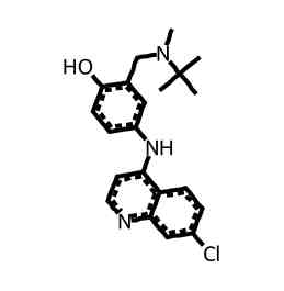 CN(Cc1cc(Nc2ccnc3cc(Cl)ccc23)ccc1O)C(C)(C)C